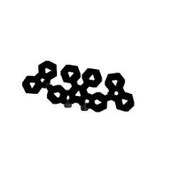 C1=CC2Oc3c(c(-c4ccccc4)c(-c4ccccc4)c4c3oc3ccc(-n5c6ccccc6c6ccccc65)cc34)C2C=C1n1c2ccccc2c2ccccc21